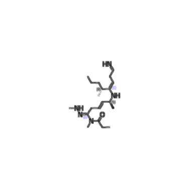 CCC[C@@H](C)/C(=C\CC=N)N[C@@H](C)C=CC/C(=N\NC)N(C)C(=O)CC